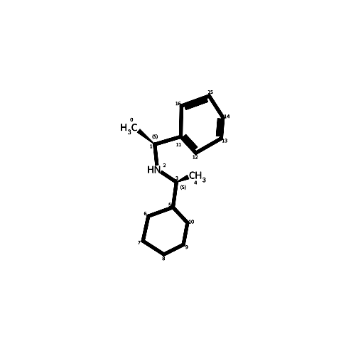 C[C@H](N[C@@H](C)C1CCCCC1)c1ccccc1